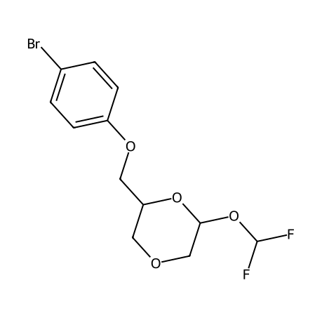 FC(F)OC1COCC(COc2ccc(Br)cc2)O1